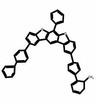 CC1CC=CC=C1c1ccc(-c2ccc3oc4c(-c5ccccc5)c5oc6ccc(-c7ccc(-c8ccccc8)cc7)cc6c5cc4c3c2)cc1